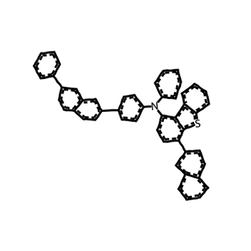 c1ccc(-c2ccc3ccc(-c4ccc(N(c5ccccc5)c5ccc(-c6ccc7ccccc7c6)c6sc7ccccc7c56)cc4)cc3c2)cc1